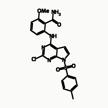 COc1cccc(Nc2nc(Cl)nc3c2ccn3S(=O)(=O)c2ccc(C)cc2)c1C(N)=O